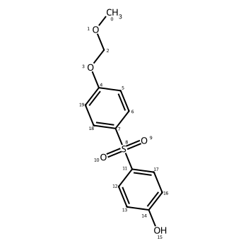 COCOc1ccc(S(=O)(=O)c2ccc(O)cc2)cc1